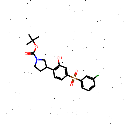 CC(C)(C)OC(=O)N1CCC(c2ccc(S(=O)(=O)c3cccc(F)c3)cc2O)C1